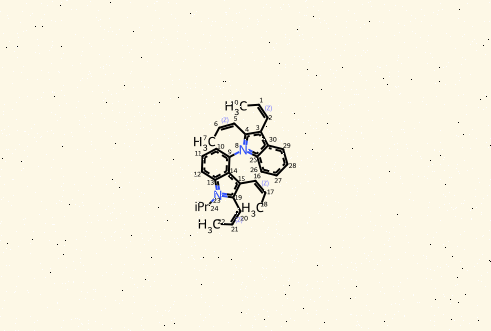 C/C=C\c1c(/C=C\C)n(-c2cccc3c2c(/C=C\C)c(/C=C\C)n3C(C)C)c2ccccc12